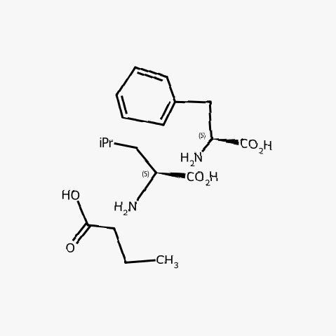 CC(C)C[C@H](N)C(=O)O.CCCC(=O)O.N[C@@H](Cc1ccccc1)C(=O)O